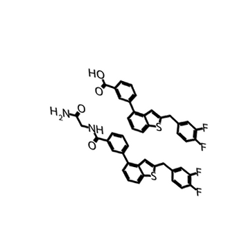 NC(=O)CNC(=O)c1cccc(-c2cccc3sc(Cc4ccc(F)c(F)c4)cc23)c1.O=C(O)c1cccc(-c2cccc3sc(Cc4ccc(F)c(F)c4)cc23)c1